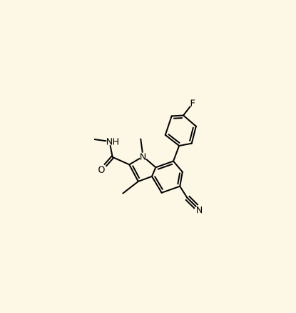 CNC(=O)c1c(C)c2cc(C#N)cc(-c3ccc(F)cc3)c2n1C